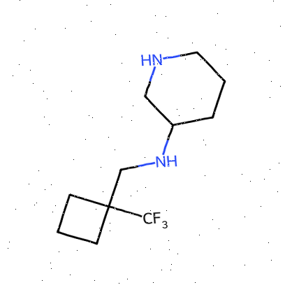 FC(F)(F)C1(CNC2CCCNC2)CCC1